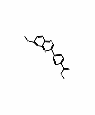 COC(=O)c1ccc(-c2cnc3ccc(OC)cc3n2)cc1